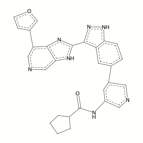 O=C(Nc1cncc(-c2ccc3[nH]nc(-c4nc5c(-c6ccoc6)cncc5[nH]4)c3c2)c1)C1CCCC1